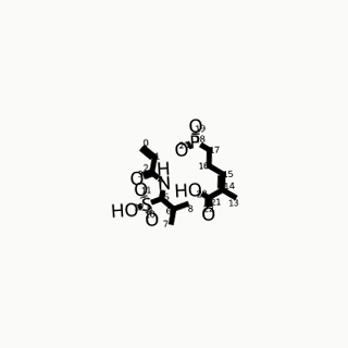 C=CC(=O)NC(C(C)C)S(=O)(=O)O.CC(=CCCP(=O)=O)C(=O)O